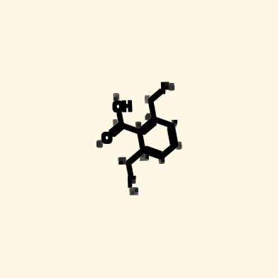 O=C(O)c1c(CF)cccc1CF